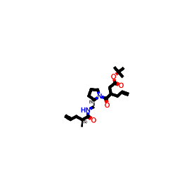 C=CCC(CC(=O)OC(C)(C)C)C(=O)N1CCC[C@H]1CNC(=O)[C@@H](C)CC=C